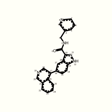 O=C(NCc1cccnc1)c1n[nH]c2ccc(-c3cncc4ccccc34)cc12